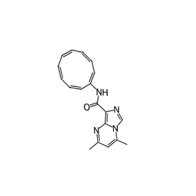 Cc1cc(C)n2cnc(C(=O)Nc3ccccccccc3)c2n1